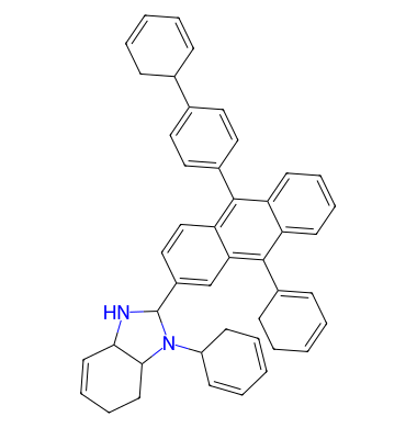 C1=CCCC(c2c3ccccc3c(-c3ccc(C4C=CC=CC4)cc3)c3ccc(C4NC5C=CCCC5N4C4C=CC=CC4)cc23)=C1